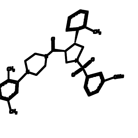 COc1cccc(S(=O)(=O)N2C[C@@H](C(=O)N3CCN(c4cc(C)ccc4C)CC3)[C@H](c3ccccc3C)C2)c1